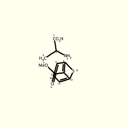 CC(N)C(=O)O.COC(=O)c1c2cccc1S2